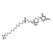 CC1(CCCCCCCCCCCCS(=O)(=O)CCCO[PH]2(O)CO[C@@H](Cn3ccc(N)nc3=O)CO2)COC1